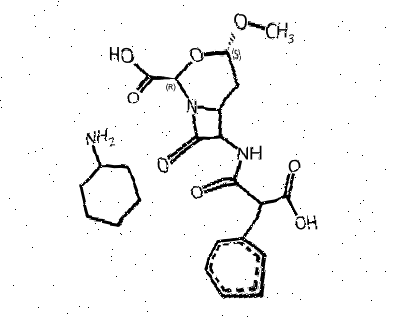 CO[C@@H]1CC2C(NC(=O)C(C(=O)O)c3ccccc3)C(=O)N2[C@@H](C(=O)O)O1.NC1CCCCC1